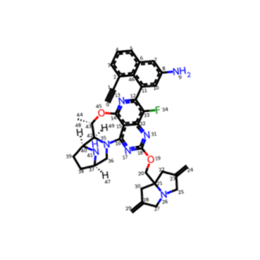 C#Cc1cccc2cc(N)cc(-c3nc4c5c(nc(OCC67CC(=C)CN6CC(=C)C7)nc5c3F)N3C[C@H]5CC[C@H](N5)[C@H]3[C@H](C)O4)c12